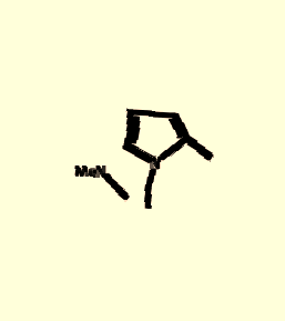 CNC.Cc1cccn1C